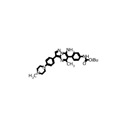 Cc1nc2c(-c3ccc(N4CCN(C)CC4)cc3)cnn2c(N)c1-c1ccc(NC(=O)OCC(C)C)cc1